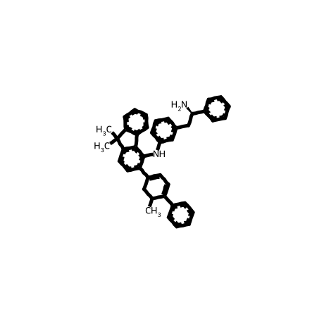 CC1CC(c2ccc3c(c2Nc2cccc(C[C@@H](N)c4ccccc4)c2)-c2ccccc2C3(C)C)=CC=C1c1ccccc1